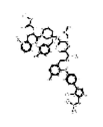 COC[C@H](NC(=O)[C@H](C)NCc1ccc(Cl)cc1Oc1ccc(-c2cnc(CN(C)C)n2C)cc1)C(=O)N[C@@]1(Cc2ccc(Cl)cc2)CCCN(C(=O)[C@@H](CC(=O)OC)Cc2cccc[n+]2[O-])C1